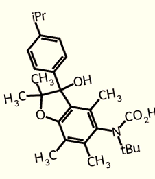 Cc1c(C)c(N(C(=O)O)C(C)(C)C)c(C)c2c1OC(C)(C)C2(O)c1ccc(C(C)C)cc1